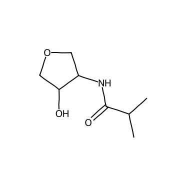 CC(C)C(=O)NC1COCC1O